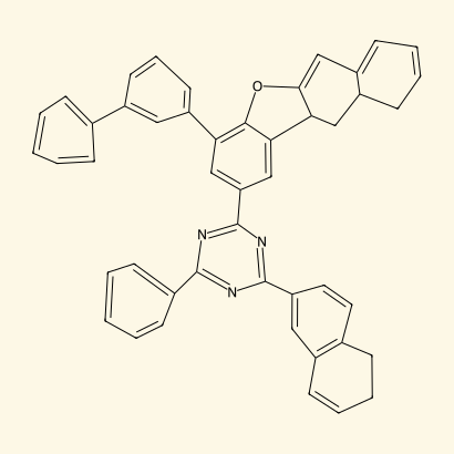 C1=CCC2CC3C(=CC2=C1)Oc1c(-c2cccc(-c4ccccc4)c2)cc(-c2nc(-c4ccccc4)nc(-c4ccc5c(c4)C=CCC5)n2)cc13